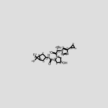 CC(C)(C)[C@@H](C(=O)N1C[C@H](O)C[C@H]1C(=O)NC1CC2C(C1)C2(F)F)n1cc(C2CC2)nn1